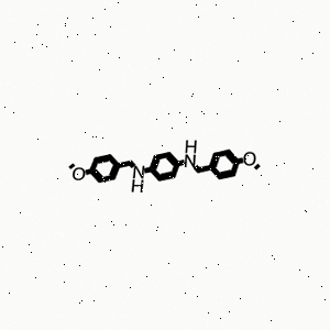 COc1ccc(CNc2ccc(NCc3ccc(OC)cc3)cc2)cc1